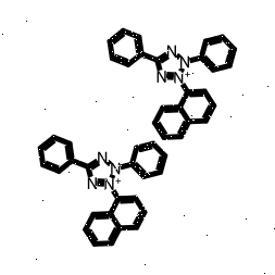 c1ccc(-c2nn(-c3ccccc3)[n+](-c3cccc4ccccc34)n2)cc1.c1ccc(-c2nn(-c3ccccc3)[n+](-c3cccc4ccccc34)n2)cc1